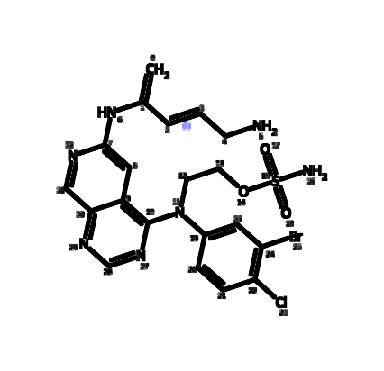 C=C(/C=C/CN)Nc1cc2c(N(CCOS(N)(=O)=O)c3ccc(Cl)c(Br)c3)ncnc2cn1